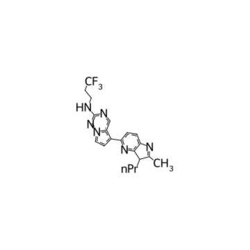 CCCC1C(C)=Nc2ccc(-c3ccn4nc(NCCC(F)(F)F)ncc34)nc21